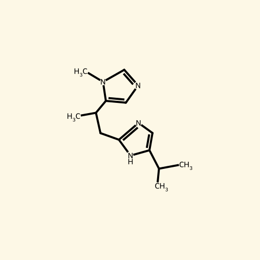 CC(C)c1cnc(CC(C)c2cncn2C)[nH]1